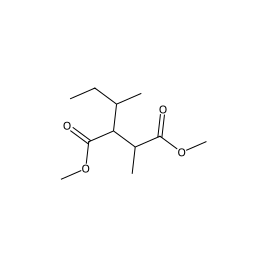 CCC(C)C(C(=O)OC)C(C)C(=O)OC